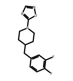 Fc1ccc(CC2CCN(c3n[c]no3)CC2)cc1F